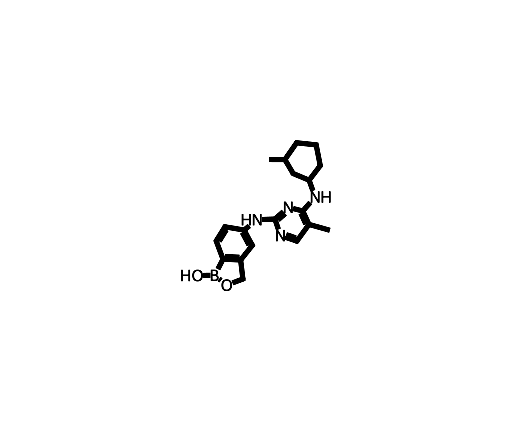 Cc1cnc(Nc2ccc3c(c2)COB3O)nc1NC1CCCC(C)C1